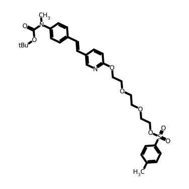 Cc1ccc(S(=O)(=O)OCCOCCOCCOc2ccc(C=Cc3ccc(N(C)C(=O)OC(C)(C)C)cc3)cn2)cc1